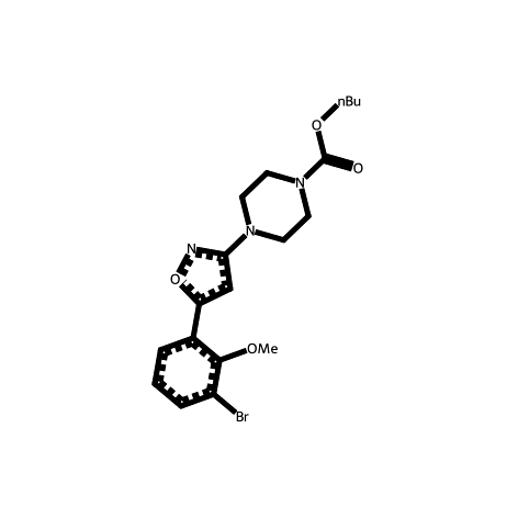 CCCCOC(=O)N1CCN(c2cc(-c3cccc(Br)c3OC)on2)CC1